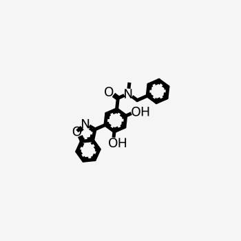 CN(Cc1ccccc1)C(=O)c1cc(-c2noc3ccccc23)c(O)cc1O